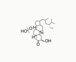 CC[C@H](CC(C)[C@@H](C)C1CCC2[C@@H]3[C@@H](OC(C)(C)O)C[C@H]4CC(=O)/C(=C/O)C[C@]4(C)[C@H]3CC[C@]12C)C(C)C